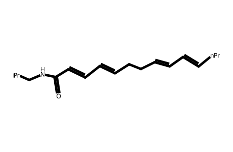 CCCC=CC=CCCC=CC=CC(=O)NCC(C)C